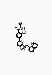 O=C(NC1CC1)c1ccc(-c2ccc3nnn(Cc4cccc5cccnc45)c3n2)cc1Cl